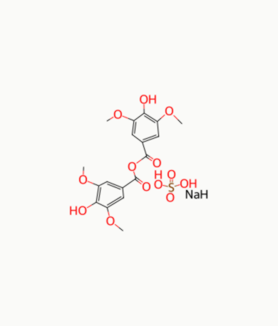 COc1cc(C(=O)OC(=O)c2cc(OC)c(O)c(OC)c2)cc(OC)c1O.O=S(=O)(O)O.[NaH]